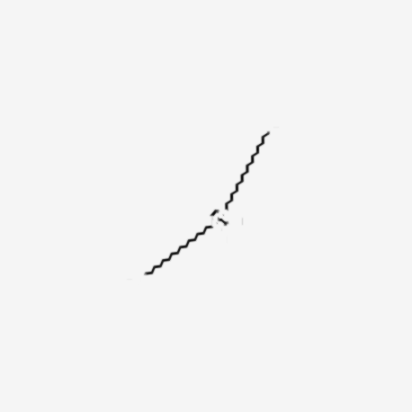 CCCCCCCCCCCCCCCCCC[n+]1ccn(CCCCCCCCCCCCCCCCC)c1C(C)C